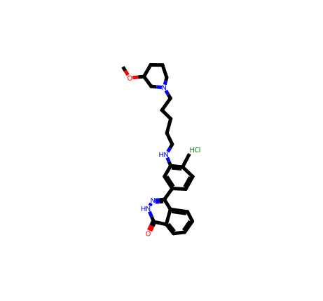 COC1CCCN(CCCCCNc2cc(-c3n[nH]c(=O)c4ccccc34)ccc2C)C1.Cl